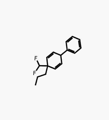 CCCC1(C(F)F)C=CC(c2ccccc2)C=C1